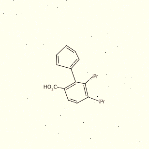 CC(C)c1ccc(C(=O)O)c(-c2ccccc2)c1C(C)C